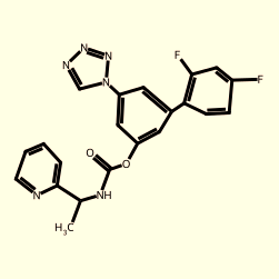 CC(NC(=O)Oc1cc(-c2ccc(F)cc2F)cc(-n2cnnn2)c1)c1ccccn1